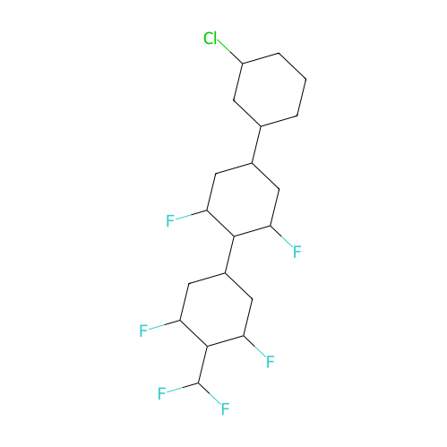 FC(F)C1C(F)CC(C2C(F)CC(C3CCCC(Cl)C3)CC2F)CC1F